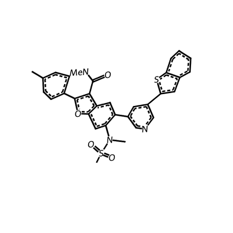 CNC(=O)c1c(-c2ccc(C)cc2)oc2cc(N(C)S(C)(=O)=O)c(-c3cncc(-c4cc5ccccc5s4)c3)cc12